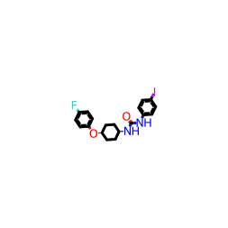 O=C(Nc1ccc(I)cc1)N[C@H]1CC[C@@H](Oc2ccc(F)cc2)CC1